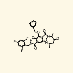 C[C@@H]1CC(=O)[C@H](C)N2CN1n1cc(C(=O)NCc3c(F)cc(F)cc3F)c(=O)c(OCc3ccccc3)c1C2=O